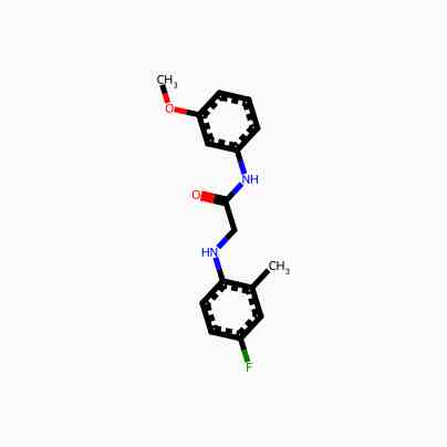 COc1cccc(NC(=O)CNc2ccc(F)cc2C)c1